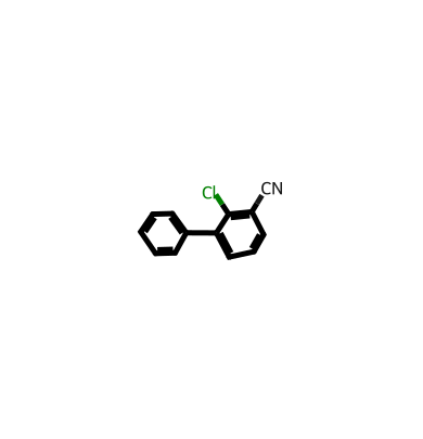 N#Cc1cccc(-c2ccccc2)c1Cl